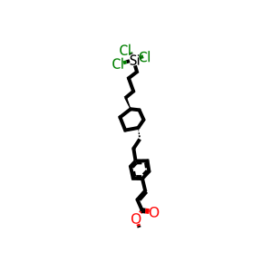 COC(=O)C=Cc1ccc(CC[C@H]2CC[C@H](CCCC[Si](Cl)(Cl)Cl)CC2)cc1